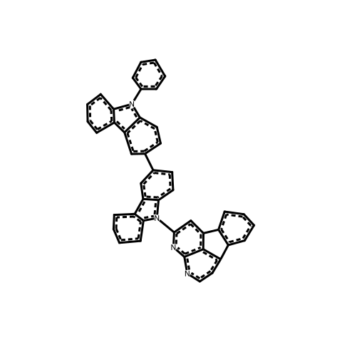 c1ccc(-n2c3ccccc3c3cc(-c4ccc5c(c4)c4ccccc4n5-c4cc5c6c(ccnc6n4)-c4ccccc4-5)ccc32)cc1